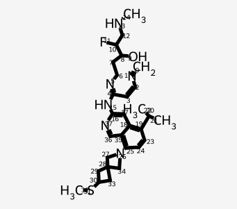 C=N/C=C\C(=N/CCC(O)C(F)CNC)Nc1cc2c(C(C)C)ccc(N3CC4(CC(SC)C4)C3)c2cn1